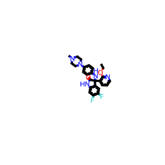 CCOc1ncccc1C1(Nc2ccc(N3CCN(C)CC3)cc2)C(=O)Nc2cc(F)c(F)cc21